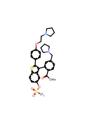 COC(=O)c1ccc(CN2CCCC2)cc1-c1c(-c2ccc(OCCN3CCCC3)cc2)sc2ccc(OS(=O)(=O)C(F)(F)F)cc12